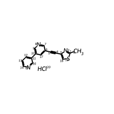 Cc1nc(C#Cc2cncc(-c3cccnc3)c2)cs1.Cl